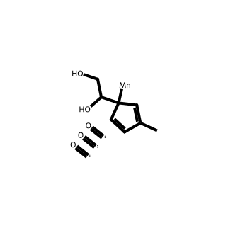 CC1=C[C]([Mn])(C(O)CO)C=C1.[C]=O.[C]=O.[C]=O